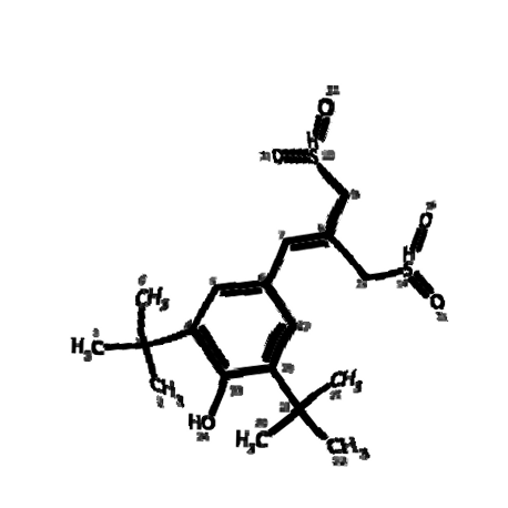 CC(C)(C)c1cc(C=C(C[SH](=O)=O)C[SH](=O)=O)cc(C(C)(C)C)c1O